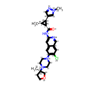 C[C@H]1[C@@H](C(=O)Nc2cc3cc(N4CCN([C@]5(C)CCOC5)CC4)c(Cl)cc3cn2)[C@@H]1c1cnn(C)c1